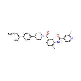 C=C/C(=C\NC)c1ccc(C2CCN(C(=O)c3ccc(C)c(NC(=O)c4ccnc(C)c4)c3)CC2)cc1